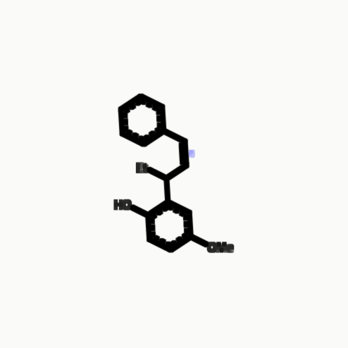 CCC(/C=C\c1ccccc1)c1cc(OC)ccc1O